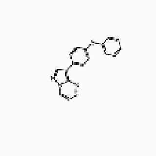 c1ccc(Sc2ccc(-c3cnn4cccnc34)cc2)cc1